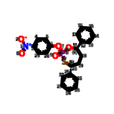 O=[N+]([O-])c1ccc(O[P@@]2(=O)O[C@@H](c3ccccc3)CC[C@H](c3ccccc3)S2)cc1